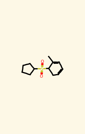 CC1=CC=CCC1S(=O)(=O)C1CCCC1